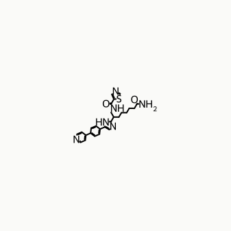 NC(=O)CCCCCC(CNC(=O)c1cncs1)c1ncc(-c2ccc(-c3ccncc3)cc2)[nH]1